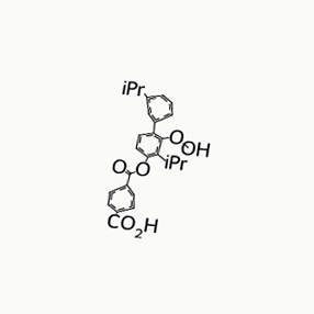 CC(C)c1cccc(-c2ccc(OC(=O)c3ccc(C(=O)O)cc3)c(C(C)C)c2OO)c1